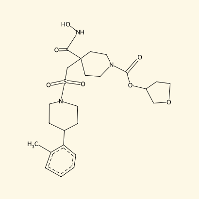 Cc1ccccc1C1CCN(S(=O)(=O)CC2(C(=O)NO)CCN(C(=O)OC3CCOC3)CC2)CC1